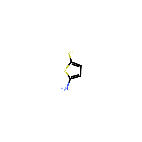 Nc1ccc(S)s1